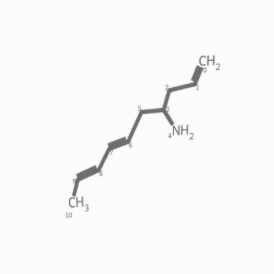 C=CCC(N)CC=CC=CC